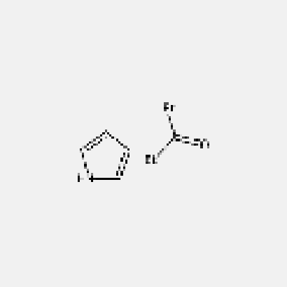 CCC(=O)CC.c1cc[nH]c1